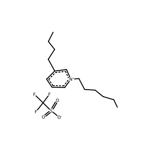 CCCCCC[n+]1cccc(CCCC)c1.O=S(=O)([O-])C(F)(F)F